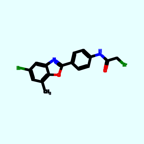 Cc1cc(Br)cc2nc(-c3ccc(NC(=O)CBr)cc3)oc12